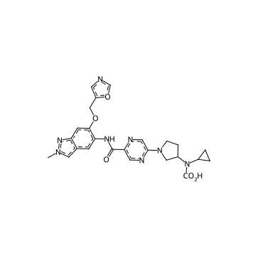 Cn1cc2cc(NC(=O)c3cnc(N4CCC(N(C(=O)O)C5CC5)C4)cn3)c(OCc3cnco3)cc2n1